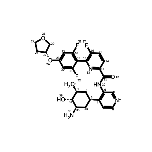 C[C@H]1C[C@@H](c2ccncc2NC(=O)c2ccc(F)c(-c3c(F)cc(O[C@@H]4CCOC4)cc3F)n2)C[C@@H](N)[C@@H]1O